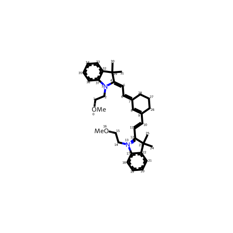 COCCN1C(=CC=C2C=C(C=CC3=[N+](CCOC)c4ccccc4C3(C)C)CCC2)C(C)(C)c2ccccc21